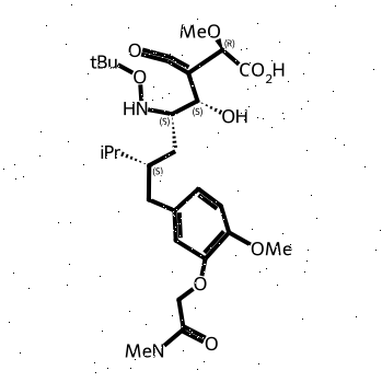 CNC(=O)COc1cc(C[C@@H](C[C@H](NOC(C)(C)C)[C@@H](O)C(=C=O)[C@@H](OC)C(=O)O)C(C)C)ccc1OC